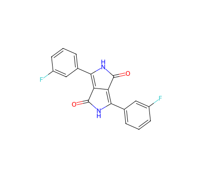 O=C1NC(c2cccc(F)c2)=C2C(=O)NC(c3cccc(F)c3)=C12